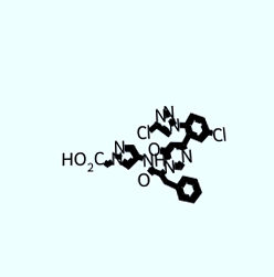 O=C(O)Cn1cc(NC(=O)C(Cc2ccccc2)n2cnc(-c3cc(Cl)ccc3-n3cc(Cl)nn3)cc2=O)cn1